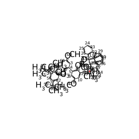 COc1cc(-c2cc(OC)cc(C(C)(C)C)c2OP2OC(c3ccccc3)(c3ccccc3)C(c3ccccc3)(c3ccccc3)O2)c(Oc2cc(C(C)(C)C)cc(C(C)(C)C)c2)c(C(C)(C)C)c1